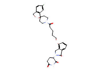 O=C1CCC(N2Cc3c(OCCCCC(=O)N4CCC5(CC4)OCc4ccc(Cl)cc45)cccc3C2=O)C(=O)N1